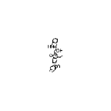 CCc1nn(CC(O)[C@@H]2Cc3ccccc3CN2)c(=O)c2ccc(C(=O)N3C4CCC3COC4)cc12